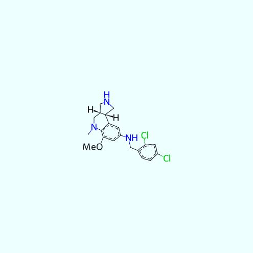 COc1cc(NCc2ccc(Cl)cc2Cl)cc2c1N(C)C[C@@H]1CNC[C@H]21